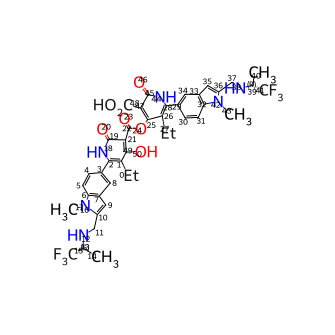 CCc1c(-c2ccc3c(c2)cc(CN[C@@H](C)C(F)(F)F)n3C)[nH]c(=O)c(C(=O)Oc2c(CC)c(-c3ccc4c(c3)cc(CN[C@H](C)C(F)(F)F)n4C)[nH]c(=O)c2C(=O)O)c1O